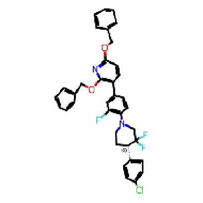 Fc1cc(-c2ccc(OCc3ccccc3)nc2OCc2ccccc2)ccc1N1CC[C@@H](c2ccc(Cl)cc2)C(F)(F)C1